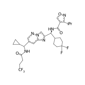 CC(C)c1nocc1C(=O)N[C@H](c1cn2ncc(C(NC(=O)CCC(F)(F)F)C3CC3)cc2n1)C1CCC(F)(F)CC1